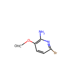 Nc1nc(Br)ccc1OC=O